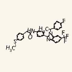 CCSc1ccc(CC(=O)Nc2ccc(-c3nc4ccc(C(F)(F)F)cc4n3C(C)c3ccc(F)cc3)cc2)cc1